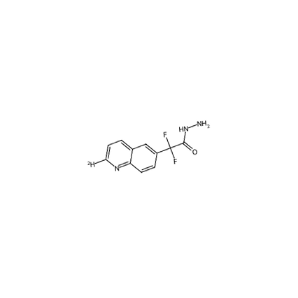 [2H]c1ccc2cc(C(F)(F)C(=O)NN)ccc2n1